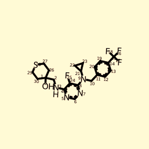 OC1(CNc2ncnc(N(Cc3ccc(C(F)(F)F)cc3)C3CC3)c2F)CCSCC1